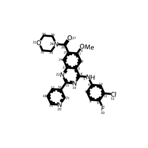 COc1cc2c(Nc3ccc(F)c(Cl)c3)nc(-c3cccnc3)nc2cc1C(=O)N1CCOCC1